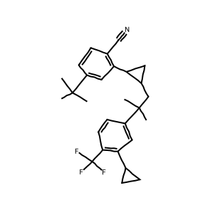 CC(C)(C)c1ccc(C#N)c(C2CC2CC(C)(C)c2ccc(C(F)(F)F)c(C3CC3)c2)c1